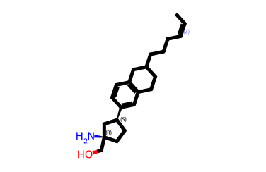 C/C=C\CCCC1CCc2cc([C@H]3CC[C@](N)(CO)C3)ccc2C1